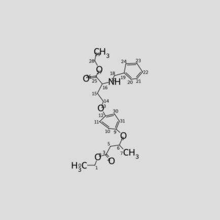 CCOC(=O)CC(C)Oc1ccc(OCCC(NCc2ccccc2)C(=O)OCC)cc1